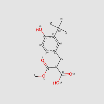 COC(=O)C(Cc1ccc(O)c(C(C)(C)C)c1)C(=O)O